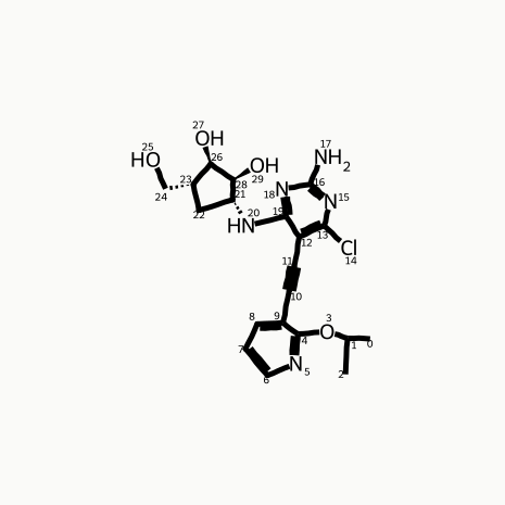 CC(C)Oc1ncccc1C#Cc1c(Cl)nc(N)nc1N[C@@H]1C[C@H](CO)[C@@H](O)[C@H]1O